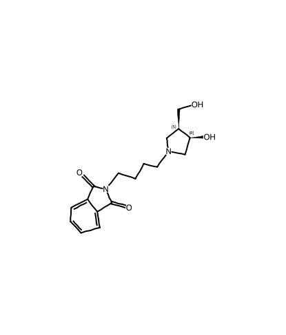 O=C1c2ccccc2C(=O)N1CCCCN1C[C@@H](CO)[C@@H](O)C1